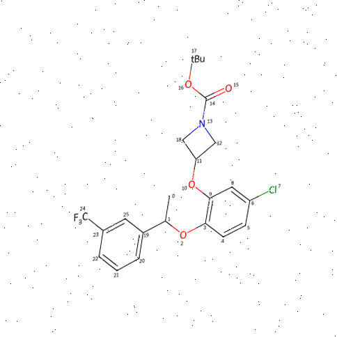 CC(Oc1ccc(Cl)cc1OC1CN(C(=O)OC(C)(C)C)C1)c1cccc(C(F)(F)F)c1